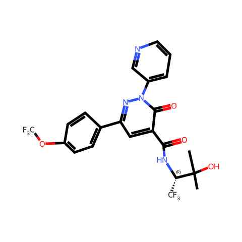 CC(C)(O)[C@@H](NC(=O)c1cc(-c2ccc(OC(F)(F)F)cc2)nn(-c2cccnc2)c1=O)C(F)(F)F